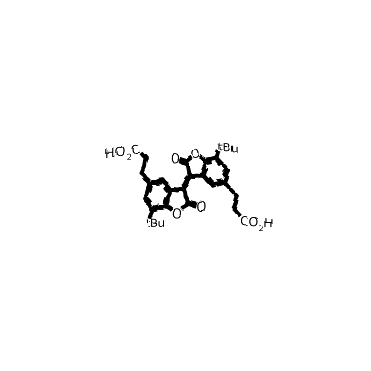 CC(C)(C)c1cc(CCC(=O)O)cc2c1OC(=O)C2=C1C(=O)Oc2c1cc(CCC(=O)O)cc2C(C)(C)C